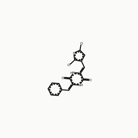 O=c1[nH]c(=Cc2cc(Cl)sc2Cl)c(=O)[nH]c1=Cc1ccccc1